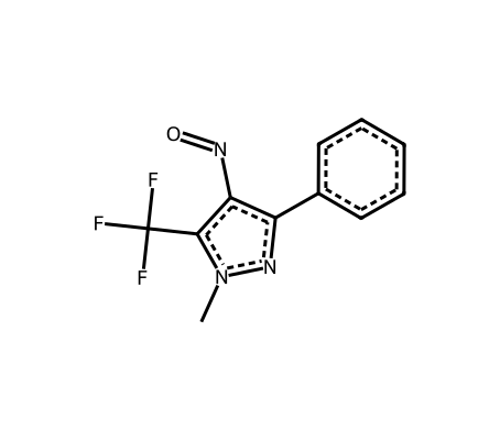 Cn1nc(-c2ccccc2)c(N=O)c1C(F)(F)F